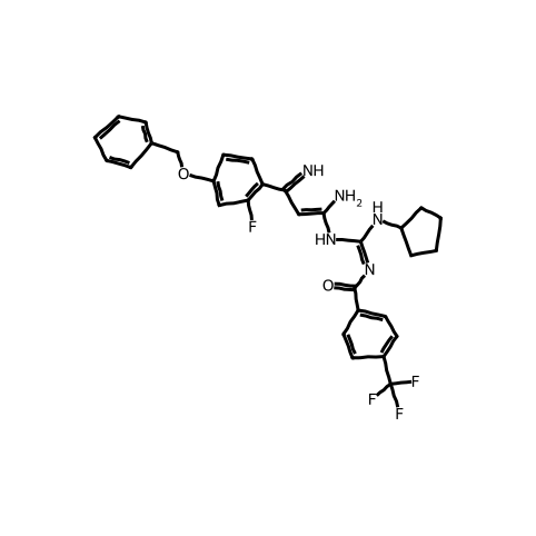 N=C(/C=C(\N)N/C(=N\C(=O)c1ccc(C(F)(F)F)cc1)NC1CCCC1)c1ccc(OCc2ccccc2)cc1F